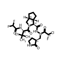 CCC(C)(C)[C@H](NC(=O)C(F)F)C(=O)N1C[C@@H]2CCC[C@@H]2[C@H]1C(=O)NN(C[C@@H]1CCNC1=O)C(=O)[C@@H](F)Cl